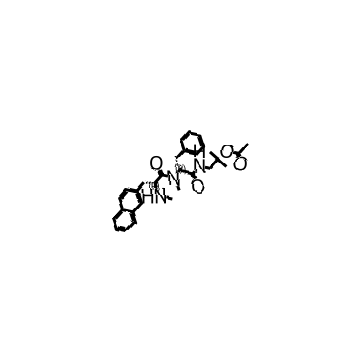 CN[C@H](Cc1ccc2ccccc2c1)C(=O)N(C)[C@H](Cc1ccccc1)C(=O)NCC(C)(C)OC(C)=O